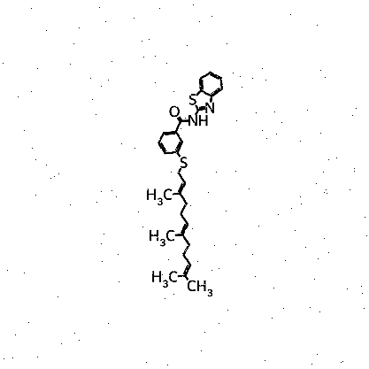 CC(C)=CCC/C(C)=C/CC/C(C)=C/CSc1cccc(C(=O)Nc2nc3ccccc3s2)c1